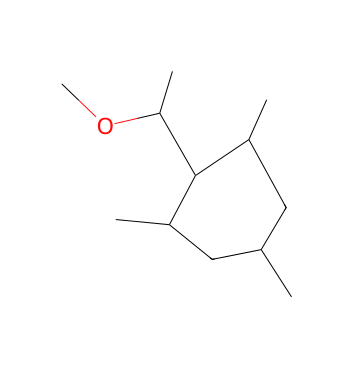 COC(C)C1C(C)CC(C)CC1C